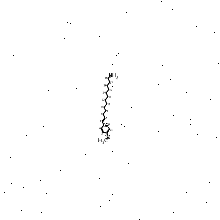 COc1ccc(C=CCCCCCCCCCCCN)cc1